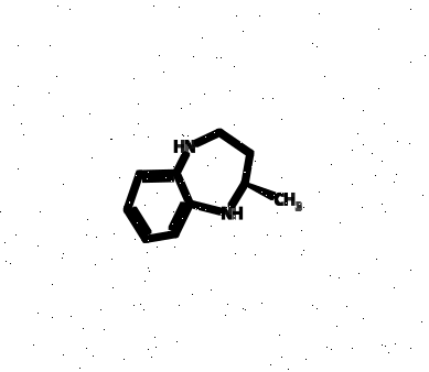 C[C@@H]1CCNc2ccccc2N1